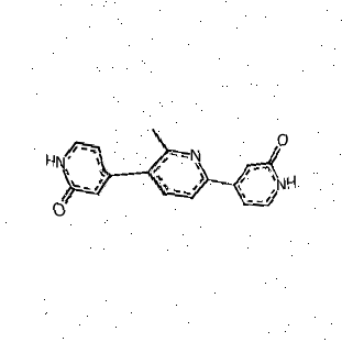 Cc1nc(-c2cc[nH]c(=O)c2)ccc1-c1cc[nH]c(=O)c1